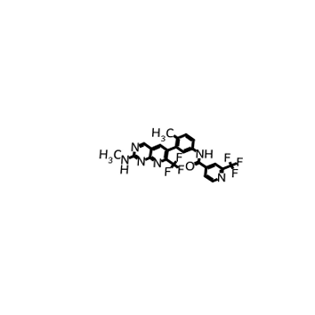 CNc1ncc2cc(-c3cc(NC(=O)c4ccnc(C(F)(F)F)c4)ccc3C)c(C(F)(F)F)nc2n1